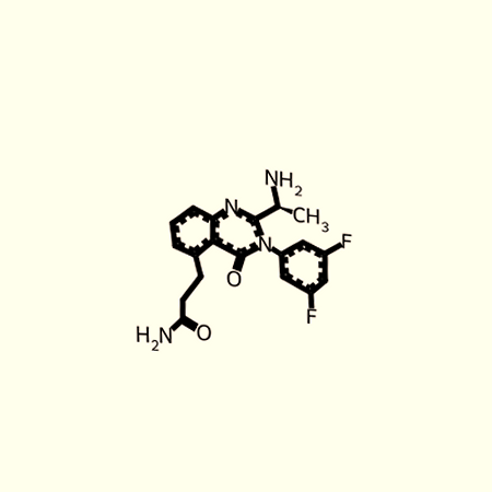 C[C@H](N)c1nc2cccc(CCC(N)=O)c2c(=O)n1-c1cc(F)cc(F)c1